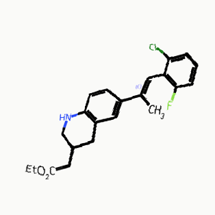 CCOC(=O)CC1CNc2ccc(/C(C)=C/c3c(F)cccc3Cl)cc2C1